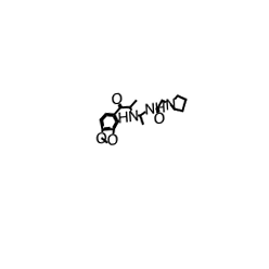 CC(NC(=O)CN1CCCC1)NC(C)C(=O)c1ccc2c(c1)OCO2